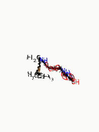 C=C(CCCCCSCC(C)CC)NCCCOCCOCCOCCCNC(=O)CCC(=O)O